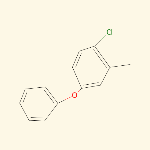 Cc1cc(Oc2ccccc2)ccc1Cl